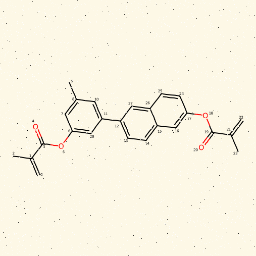 C=C(C)C(=O)Oc1cc(C)cc(-c2ccc3cc(OC(=O)C(=C)C)ccc3c2)c1